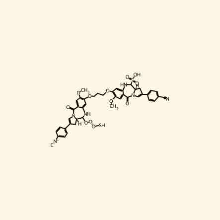 [C-]#[N+]c1ccc(C2=CN3C(=O)c4cc(OC)c(OCCCOc5cc6c(cc5OC)C(=O)N5C=C(c7ccc(C#N)cc7)C[C@H]5C(S(=O)(=O)O)N6)cc4NC(OOOS)[C@@H]3C2)cc1